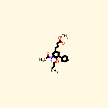 CCCCOc1c(NC(C)=O)cc(CCCC(=O)OC)cc1-c1ccccc1